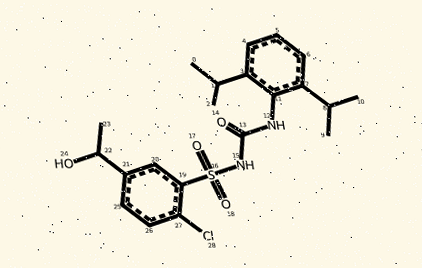 CC(C)c1cccc(C(C)C)c1NC(=O)NS(=O)(=O)c1cc(C(C)O)ccc1Cl